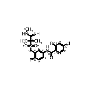 CNC(=N)C(C)(C)S(=O)(=O)Cc1cc(NC(=O)c2ncc(Cl)cc2F)ccc1F